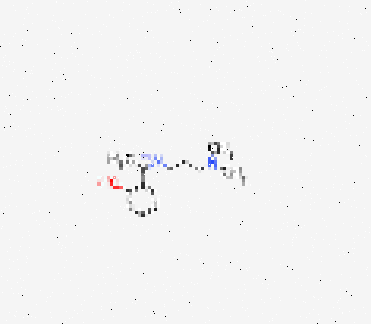 C/C(=N/CCCN(C)C)c1ccccc1O